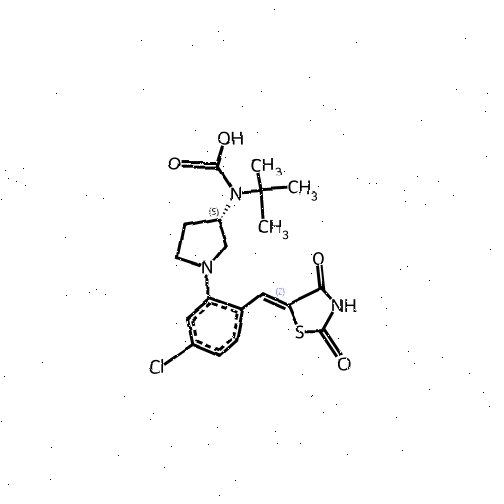 CC(C)(C)N(C(=O)O)[C@H]1CCN(c2cc(Cl)ccc2/C=C2\SC(=O)NC2=O)C1